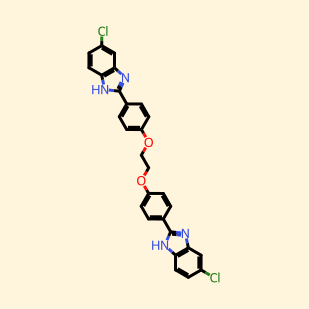 Clc1ccc2[nH]c(-c3ccc(OCCOc4ccc(-c5nc6cc(Cl)ccc6[nH]5)cc4)cc3)nc2c1